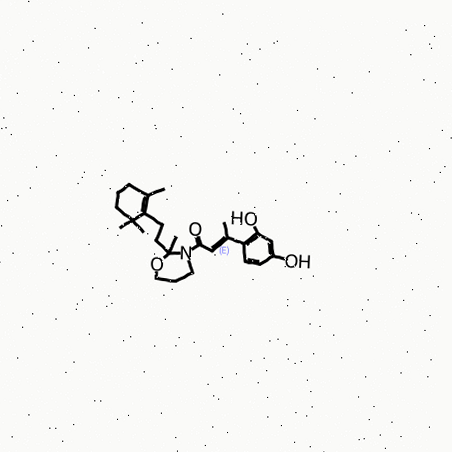 CC1=C(CCC2(C)OCCCN2C(=O)/C=C(\C)c2ccc(O)cc2O)C(C)(C)CCC1